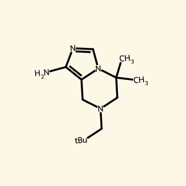 CC(C)(C)CN1Cc2c(N)ncn2C(C)(C)C1